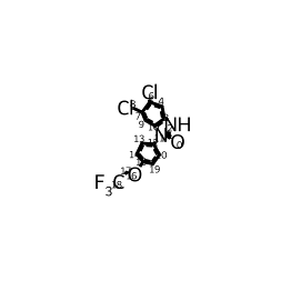 O=c1[nH]c2cc(Cl)c(Cl)cc2n1-c1ccc(OCC(F)(F)F)cc1